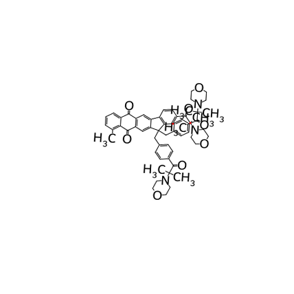 Cc1cccc2c1C(=O)c1cc3c(cc1C2=O)-c1ccc(C(=O)C(C)(C)N2CCOCC2)cc1C3(Cc1ccc(C(=O)C(C)(C)N2CCOCC2)cc1)Cc1ccc(C(=O)C(C)(C)N2CCOCC2)cc1